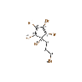 BrCCCC1(Br)C(Br)=C(Br)C(Br)=C1Br